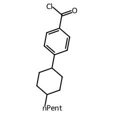 CCCCCC1CCC(c2ccc(C(=O)Cl)cc2)CC1